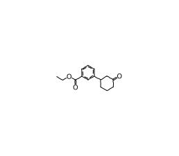 CCOC(=O)c1cccc(C2CCCC(=O)C2)c1